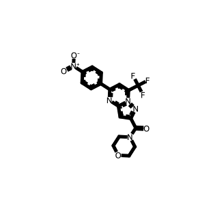 O=C(c1cc2nc(-c3ccc([N+](=O)[O-])cc3)cc(C(F)(F)F)n2n1)N1CCOCC1